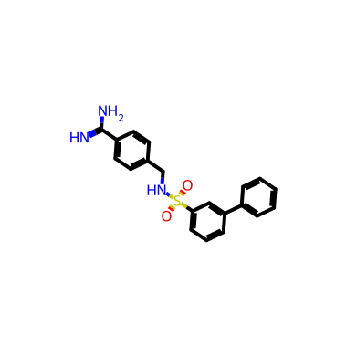 N=C(N)c1ccc(CNS(=O)(=O)c2cccc(-c3ccccc3)c2)cc1